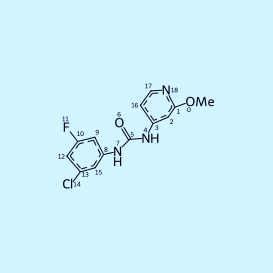 COc1cc(NC(=O)Nc2cc(F)cc(Cl)c2)ccn1